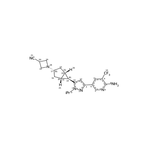 CC(C)n1nc(-c2cnc(N)c(C(F)(F)F)c2)cc1[C@H]1[C@@H]2C[C@H](N3CC(C#N)C3)C[C@@H]21